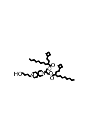 CCCCCCCCC(CCC1CCC1)C(=O)OCC(COC(=O)C(CCCCCCCC)CCC1CCC1)N1CCC2(CCN(CCCCO)CC2)CC1